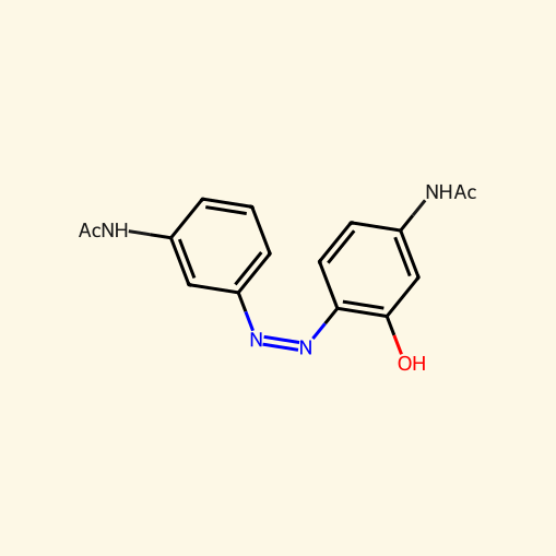 CC(=O)Nc1cccc(/N=N\c2ccc(NC(C)=O)cc2O)c1